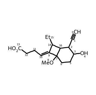 C#CC1C(O)CCC2(OC)C(=CCCC(=O)O)C(CC)C12